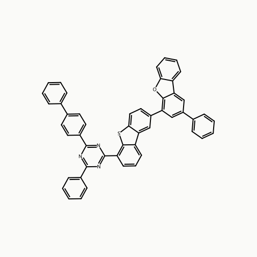 c1ccc(-c2ccc(-c3nc(-c4ccccc4)nc(-c4cccc5c4sc4ccc(-c6cc(-c7ccccc7)cc7c6oc6ccccc67)cc45)n3)cc2)cc1